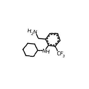 NCc1cccc(C(F)(F)F)c1NC1CCCCC1